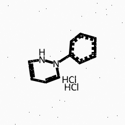 C1=CNN(c2ccccc2)C=C1.Cl.Cl